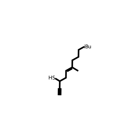 C#CC(S)C/C=C(\C)CCCC(C)CC